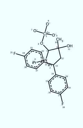 CC(C)N(C(C)C)C(O[Cl+3]([O-])([O-])[O-])C(C)(O)CC(c1ccc(F)cc1)c1ccc(F)cc1